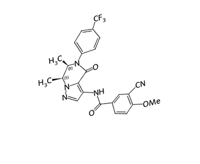 COc1ccc(C(=O)Nc2cnn3c2C(=O)N(c2ccc(C(F)(F)F)cc2)[C@H](C)[C@@H]3C)cc1C#N